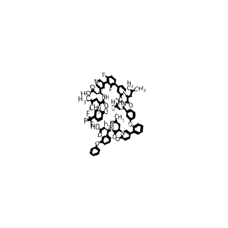 CC(C)CC(C(=O)N[C@@H](CC(=O)O)c1cccc(Oc2ccccc2-c2ccc(=O)n(C(CC(C)C)C(=O)N[C@H](CC(=O)O)c3cccc(Oc4ccccc4)c3)c2)c1)n1ccc(-c2ccc(F)c(-c3cncc([C@H](CC(=O)O)NC(=O)C(CC(C)C)n4cc(C(F)(F)F)ccc4=O)c3)c2F)cc1=O